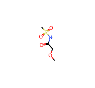 COCC(=O)[N]S(C)(=O)=O